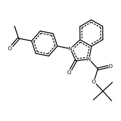 CC(=O)c1ccc(-n2c(=O)n(C(=O)OC(C)(C)C)c3ccccc32)cc1